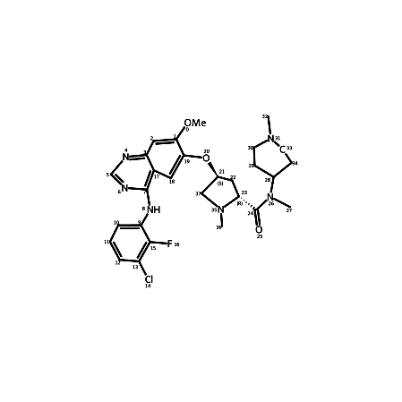 COc1cc2ncnc(Nc3cccc(Cl)c3F)c2cc1O[C@H]1C[C@H](C(=O)N(C)C2CCN(C)CC2)N(C)C1